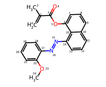 C=C(C)C(=O)Oc1cccc2cccc(N=Nc3ccccc3OC)c12